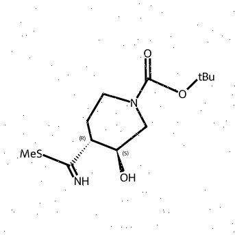 CSC(=N)[C@@H]1CCN(C(=O)OC(C)(C)C)C[C@H]1O